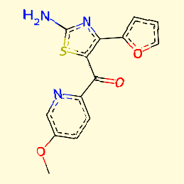 COc1ccc(C(=O)c2sc(N)nc2-c2ccco2)nc1